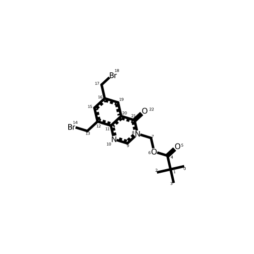 CC(C)(C)C(=O)OCn1cnc2c(CBr)cc(CBr)cc2c1=O